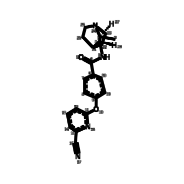 C[C@H]1[C@H](NC(=O)c2ccc(Oc3cccc(C#N)n3)cc2)C2CCN1CC2